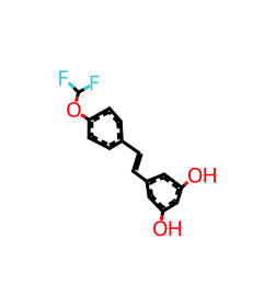 Oc1cc(O)cc(/C=C/c2ccc(OC(F)F)cc2)c1